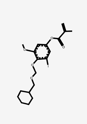 C=C(C)C(=O)Oc1cc(I)c(OCOCC2CCCCC2)c(OC)c1